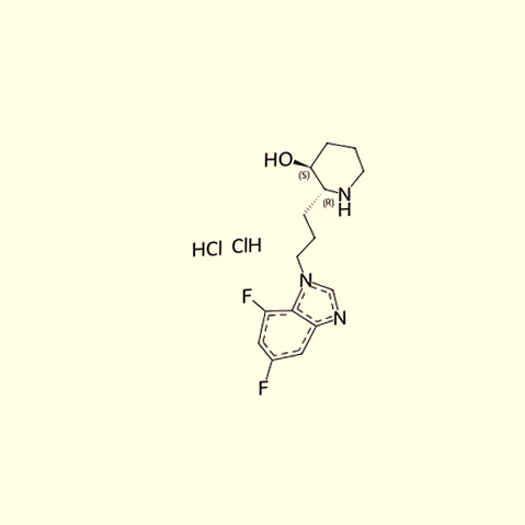 Cl.Cl.O[C@H]1CCCN[C@@H]1CCCn1cnc2cc(F)cc(F)c21